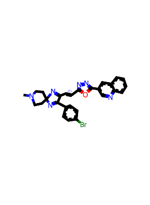 CN1CCC2(CC1)N=C(/C=C/c1nnc(-c3cnc4ccccc4c3)o1)C(c1ccc(Br)cc1)=N2